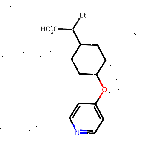 CCC(C(=O)O)C1CCC(Oc2ccncc2)CC1